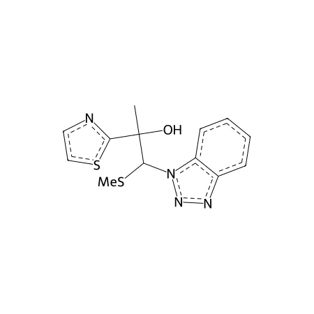 CSC(n1nnc2ccccc21)C(C)(O)c1nccs1